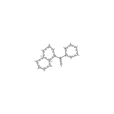 O=C(c1ccccn1)c1cccc2ccccc12